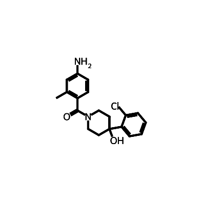 Cc1cc(N)ccc1C(=O)N1CCC(O)(c2ccccc2Cl)CC1